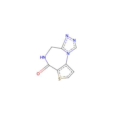 O=C1NCc2nncn2-c2ccsc21